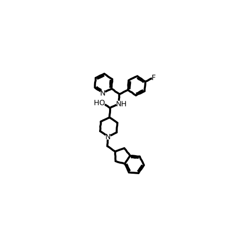 OC(NC(c1ccc(F)cc1)c1ccccn1)C1CCN(CC2Cc3ccccc3C2)CC1